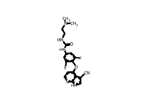 CN(C)CCNC(=O)Nc1cc(F)c(Oc2ccnc3[nH]cc(C#N)c23)c(F)c1